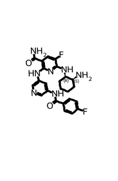 NC(=O)c1cc(F)c(N[C@@H]2CCCC[C@@H]2N)nc1Nc1cncc(NC(=O)c2ccc(F)cc2)c1